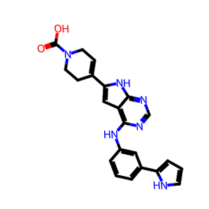 O=C(O)N1CC=C(c2cc3c(Nc4cccc(-c5ccc[nH]5)c4)ncnc3[nH]2)CC1